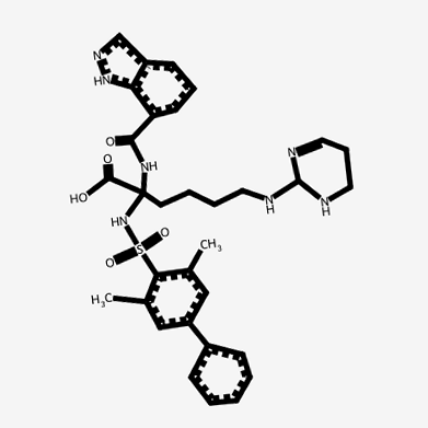 Cc1cc(-c2ccccc2)cc(C)c1S(=O)(=O)NC(CCCCNC1N=CCCN1)(NC(=O)c1cccc2cn[nH]c12)C(=O)O